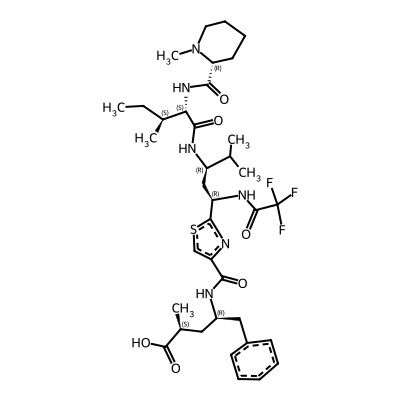 CC[C@H](C)[C@H](NC(=O)[C@H]1CCCCN1C)C(=O)N[C@H](C[C@@H](NC(=O)C(F)(F)F)c1nc(C(=O)N[C@@H](Cc2ccccc2)C[C@H](C)C(=O)O)cs1)C(C)C